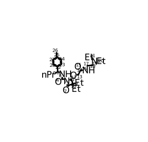 CCCC(NC(=O)N1C(=O)C(CC)(CC)C1OCC(=O)NCCN(CC)CC)c1ccc(C)cc1